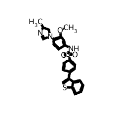 COc1cc(NS(=O)(=O)c2ccc(-c3csc4ccccc34)cc2)ccc1N1C=NC(C)C1